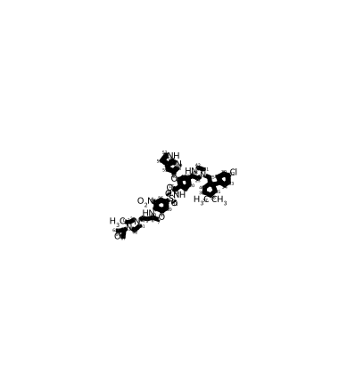 CC1CN(CCC2COc3cc(S(=O)(=O)NC(=O)c4ccc(C5CN(CC6=C(c7ccc(Cl)cc7)CC(C)(C)CC6)CCN5)cc4Oc4cnc5[nH]ccc5c4)cc([N+](=O)[O-])c3N2)CCN1C1COC1